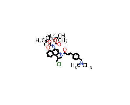 CN(C)Cc1ccc(C=CC(=O)N2CC(CCl)c3c2cc(N(C(=O)OC(C)(C)C)C(=O)OC(C)(C)C)c2ccccc32)cc1